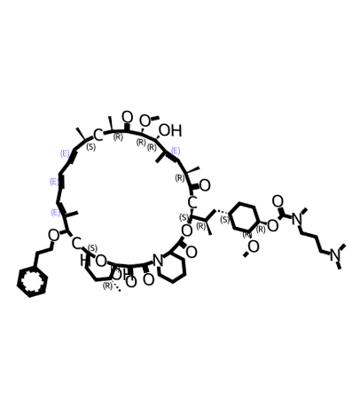 CO[C@@H]1C[C@H](C[C@@H](C)[C@@H]2CC(=O)[C@H](C)/C=C(\C)[C@@H](O)[C@@H](OC)C(=O)[C@H](C)C[C@H](C)/C=C/C=C/C=C(\C)C(OCCc3ccccc3)C[C@@H]3CC[C@@H](C)[C@@](O)(O3)C(=O)C(=O)N3CCCCC3C(=O)O2)CC[C@H]1OC(=O)N(C)CCCN(C)C